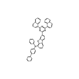 c1ccc(-c2ccc(N(c3ccccc3)c3cccc4c3oc3cc(-c5nc(-c6cccc7ccccc67)nc(-c6cccc7ccccc67)n5)ccc34)cc2)cc1